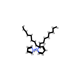 CCCCCCCCC1(CCCCCCCC)C=CC=CN1n1cccc1